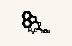 CCCCC(C)OC1Cc2cccc3cccc1c23